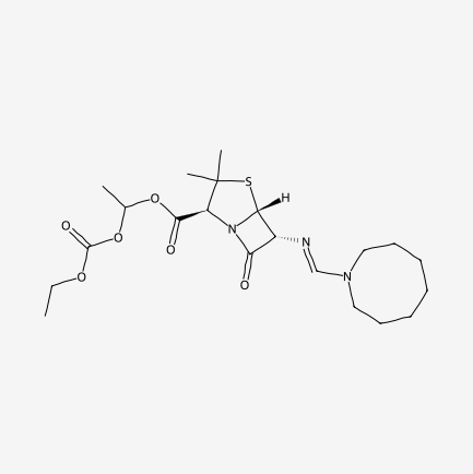 CCOC(=O)OC(C)OC(=O)[C@@H]1N2C(=O)[C@@H](N=CN3CCCCCCC3)[C@H]2SC1(C)C